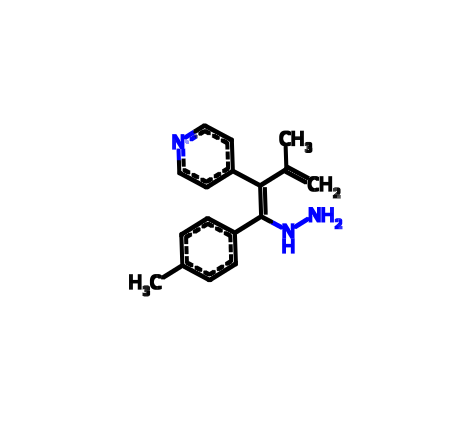 C=C(C)/C(=C(\NN)c1ccc(C)cc1)c1ccncc1